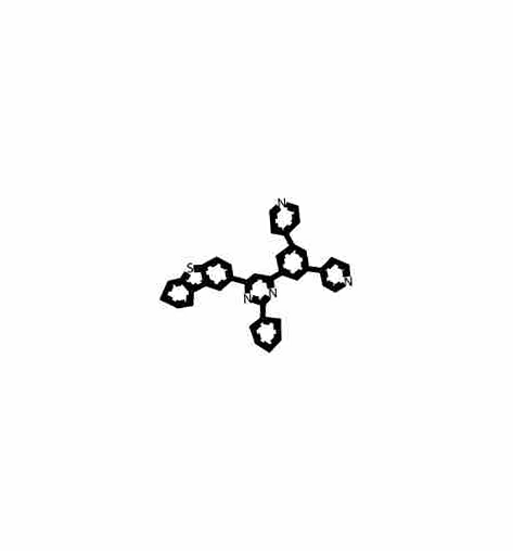 c1ccc(-c2nc(-c3cc(-c4ccncc4)cc(-c4ccncc4)c3)cc(-c3ccc4sc5ccccc5c4c3)n2)cc1